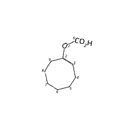 O=C(O)OC1CCCCCCC1